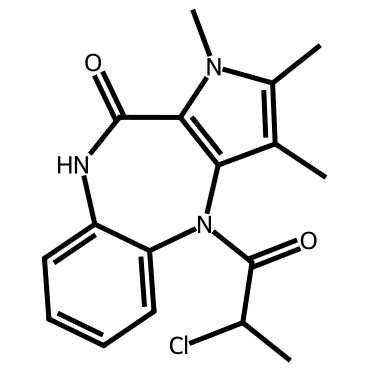 Cc1c2c(n(C)c1C)C(=O)Nc1ccccc1N2C(=O)C(C)Cl